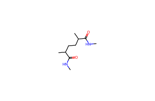 CNC(=O)C(C)CCC(C)C(=O)NC